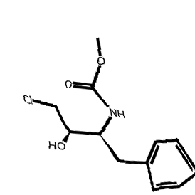 COC(=O)N[C@@H](Cc1ccccc1)[C@@H](O)CCl